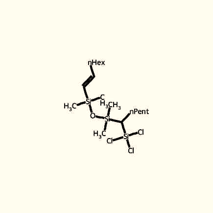 CCCCCC/C=C/[Si](C)(C)O[Si](C)(C)C(CCCCC)[Si](Cl)(Cl)Cl